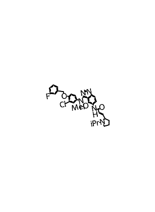 COc1c(NC(=O)/C=C/C2CCCN2C(C)C)ccc2ncnc(Nc3ccc(OCc4cccc(F)c4)c(Cl)c3)c12